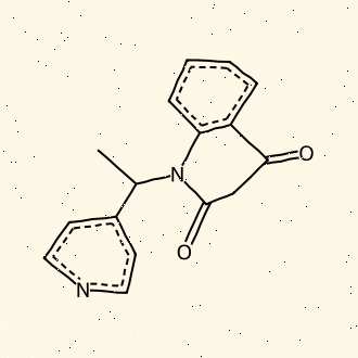 CC(c1ccncc1)N1C(=O)CC(=O)c2ccccc21